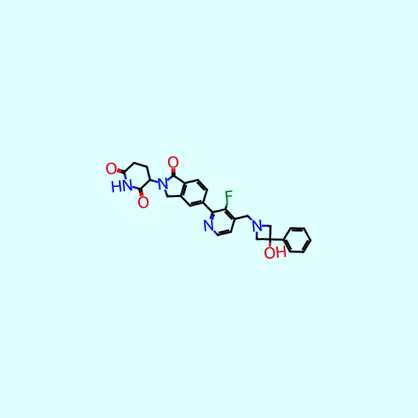 O=C1CCC(N2Cc3cc(-c4nccc(CN5CC(O)(c6ccccc6)C5)c4F)ccc3C2=O)C(=O)N1